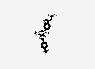 CCS(C)(c1ccc2c(CC(=O)O)coc2c1)c1oc(-c2ccc(C(F)(F)F)cc2)nc1C